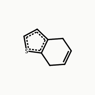 C1=CCc2sccc2C1